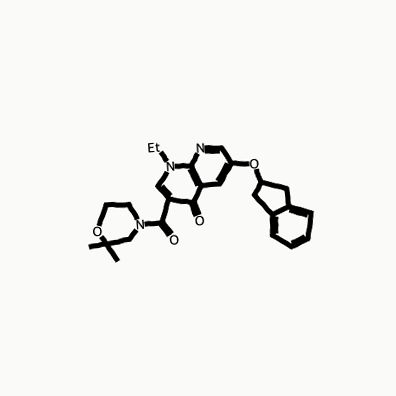 CCn1cc(C(=O)N2CCOC(C)(C)C2)c(=O)c2cc(OC3Cc4ccccc4C3)cnc21